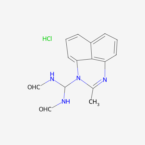 CC1=Nc2cccc3cccc(c23)N1C(NC=O)NC=O.Cl